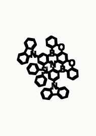 c1ccc([Si]2(c3ccccc3)c3cc(-n4c5ccccc5c5ccccc54)cc4c3N3c5c(cc(-n6c7ccccc7c7ccccc76)cc52)B2c5ccccc5Oc5cc6c(c3c52)B4c2ccccc2O6)cc1